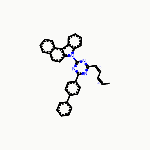 C/C=C\C=C/c1nc(-c2ccc(-c3ccccc3)cc2)nc(-n2c3ccccc3c3c4ccccc4ccc32)n1